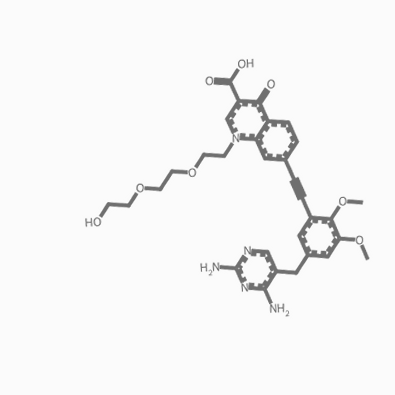 COc1cc(Cc2cnc(N)nc2N)cc(C#Cc2ccc3c(=O)c(C(=O)O)cn(CCOCCOCCO)c3c2)c1OC